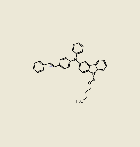 CCCCOSn1c2ccccc2c2cc(N(c3ccccc3)c3ccc(/C=C/c4ccccc4)cc3)ccc21